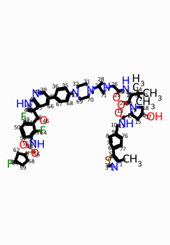 Cc1ncsc1-c1ccc(CNC(=O)[C@@H]2C[C@@H](O)CN2C(=O)[C@@H](NC(=O)CN2CC(N3CCN(c4ccc(-c5cnc6[nH]cc(C(=O)c7c(F)ccc(NS(=O)(=O)C8CC[C@@H](F)C8)c7F)c6c5)cc4)CC3)C2)C(C)(C)C)cc1